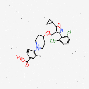 Cc1cc(C(=O)O)ccc1N1CCC(OCc2c(-c3c(Cl)cccc3Cl)noc2C2CC2)CC1